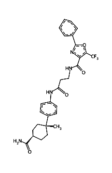 C[C@]1(c2ccc(NC(=O)CCNC(=O)c3nc(-c4ccccc4)oc3C(F)(F)F)cc2)CC[C@H](C(N)=O)CC1